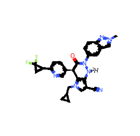 [2H]N1c2c(C#N)cn(CC3CC3)c2[C@@H](c2ccc(C3CC3(F)F)nc2)C(=O)N1c1ccc2nn(C)cc2c1